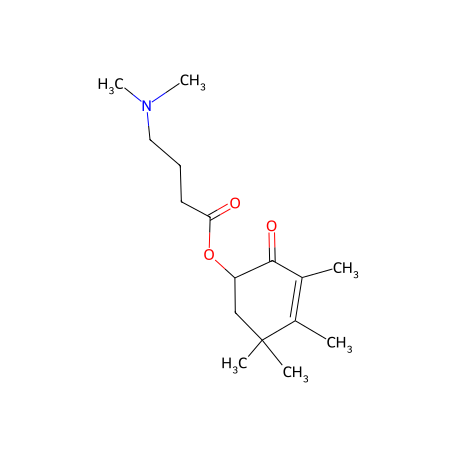 CC1=C(C)C(C)(C)CC(OC(=O)CCCN(C)C)C1=O